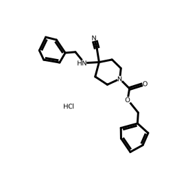 Cl.N#CC1(NCc2ccccc2)CCN(C(=O)OCc2ccccc2)CC1